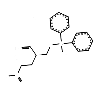 C=C[C@@H](CO[Si](c1ccccc1)(c1ccccc1)C(C)(C)C)C[C@@H](C)S(=O)[O-].[Na+]